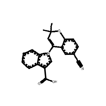 CC1(C)C=C(n2cc(C(=O)O)c3ccccc32)c2cc(C#N)ccc2O1